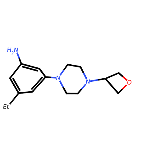 CCc1cc(N)cc(N2CCN(C3COC3)CC2)c1